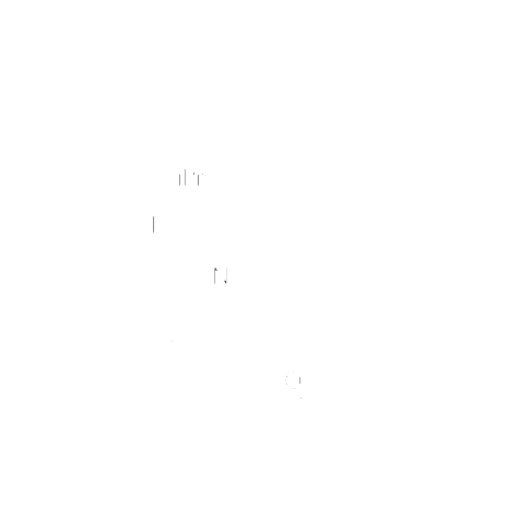 CC1CN(I)C(c2ccccc2C(C)C)CO1